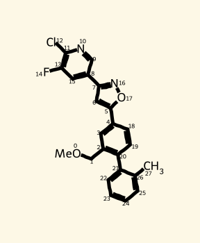 COCc1cc(-c2cc(-c3cnc(Cl)c(F)c3)no2)ccc1-c1ccccc1C